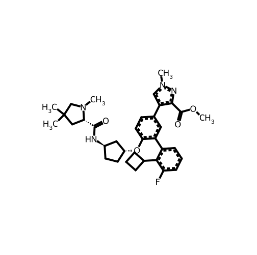 COC(=O)c1nn(C)cc1-c1ccc(O[C@@H]2CC[C@@H](NC(=O)[C@@H]3CC(C)(C)CN3C)C2)c(-c2cccc(F)c2C2CCC2)c1